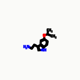 CC(C)Oc1ccc2[nH]cc(CCN)c2c1